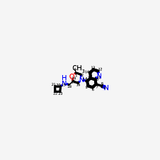 C[C@@H]1CN(c2ccc(C#N)c3ncccc23)C[C@@H](CNC2CCC2)O1